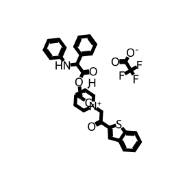 O=C(C[N+]12CCC(CC1)[C@@H](OC(=O)C(Nc1ccccc1)c1ccccc1)C2)c1cc2ccccc2s1.O=C([O-])C(F)(F)F